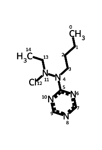 CCCCN(c1ncncn1)N(Cl)CC